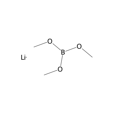 COB(OC)OC.[Li]